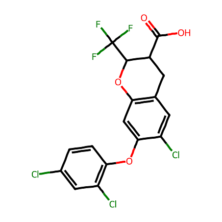 O=C(O)C1Cc2cc(Cl)c(Oc3ccc(Cl)cc3Cl)cc2OC1C(F)(F)F